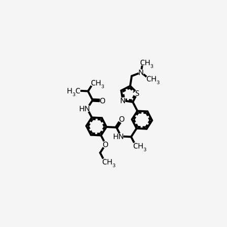 CCOc1ccc(NC(=O)C(C)C)cc1C(=O)NC(C)c1cccc(-c2ncc(CN(C)C)s2)c1